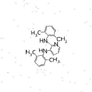 Cc1cccc(C)c1Nc1cccnc1Nc1c(C)cccc1C